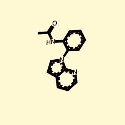 CC(=O)Nc1ccccc1-n1ccc2cccnc21